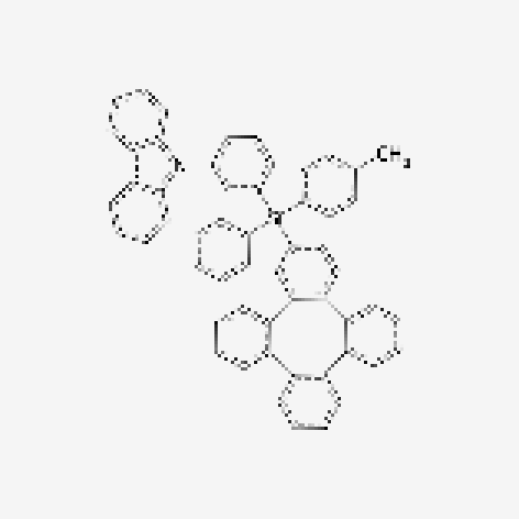 Cc1ccc([Si](c2ccccc2)(c2cccc(-n3c4ccccc4c4ccccc43)c2)c2ccc3c(c2)-c2ccccc2-c2ccccc2-c2ccccc2-3)cc1